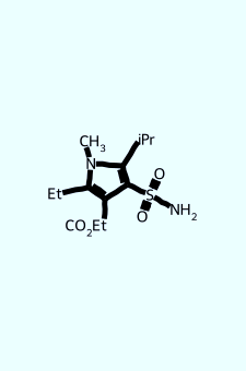 CCOC(=O)c1c(S(N)(=O)=O)c(C(C)C)n(C)c1CC